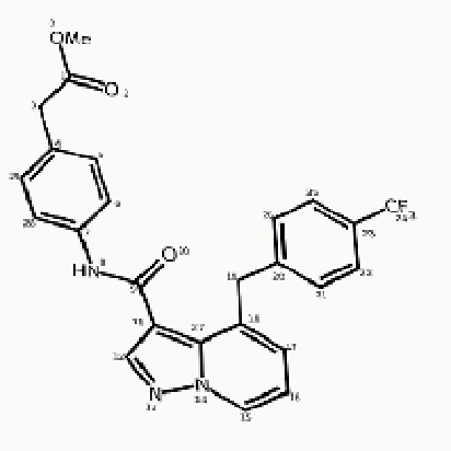 COC(=O)Cc1ccc(NC(=O)c2cnn3cccc(Cc4ccc(C(F)(F)F)cc4)c23)cc1